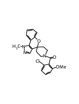 COc1cccc(Cl)c1C(=O)N1CCC2(CC1)Oc1ccccc1-c1c2cnn1C